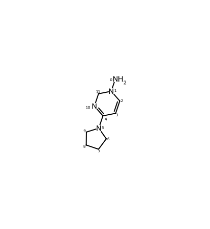 NN1C=CC(N2CCCC2)=NC1